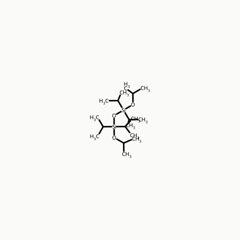 CC(C)O[Si](O[Si](OC(C)C)(C(C)C)C(C)C)(C(C)C)C(C)C